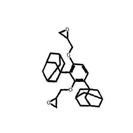 c1cc(C23CC4CC(CC(C4)C2)C3)c(OCC2CO2)c(C23CC4CC(CC(C4)C2)C3)c1OCC1CO1